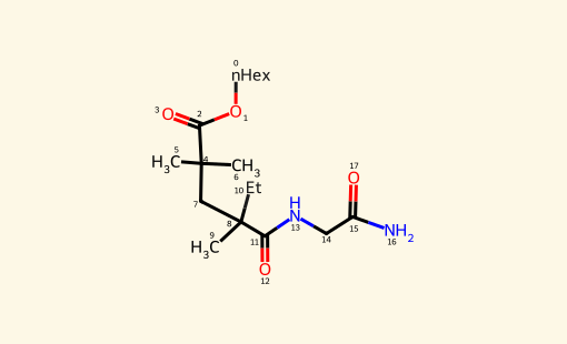 CCCCCCOC(=O)C(C)(C)CC(C)(CC)C(=O)NCC(N)=O